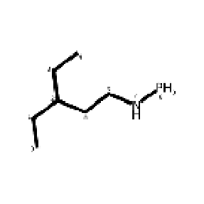 CCC(CC)CCNP